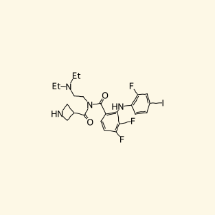 CCN(CC)CCN(C(=O)c1ccc(F)c(F)c1Nc1ccc(I)cc1F)C(=O)C1CNC1